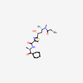 CC[C@H](C)CC(=O)N(C)[C@H](C[C@@H](O)c1nc(C(=O)N[C@H](C)C(=O)c2ccccc2)cs1)C(C)C